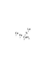 [CaH2].[Ce].[Fe].[La].[Ti]